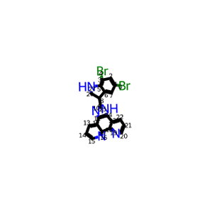 Brc1cc(Br)c2c(c1)C(c1nc3c4cccnc4c4ncccc4c3[nH]1)CN2